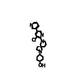 O[C@H]1CC[C@@H](N2CC[C@]3(CCCN(c4ncc(-c5cccnc5)cc4Cl)C3)C2)CC1